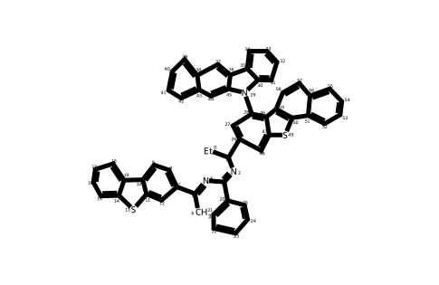 CCC(/N=C(\N=C(/C)c1ccc2c(c1)sc1ccccc12)c1ccccc1)c1cc(-n2c3ccccc3c3cc4ccccc4cc32)c2c(c1)sc1c3ccccc3ccc12